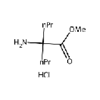 CCCC(N)(CCC)C(=O)OC.Cl